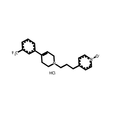 Cl.[O-][n+]1ccc(CCCN2CC=C(c3cccc(C(F)(F)F)c3)CC2)cc1